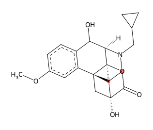 COc1ccc2c(c1)[C@]13CCN(CC4CC4)[C@H](C2O)[C@]12CC[C@](O)(C3)C(=O)O2